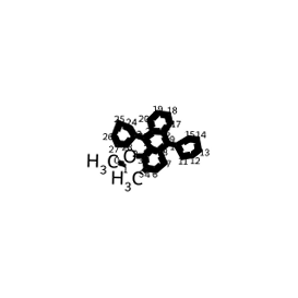 CCOc1c(C)ccc2c(-c3ccccc3)c3ccccc3c(-c3ccccc3)c12